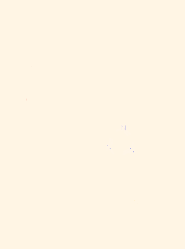 c1ccc(-c2nc(-c3ccc(-c4ccc(-c5ccccc5)c5oc6cc7ccccc7cc6c45)cc3)nc(-c3cccc4sc5ccccc5c34)n2)cc1